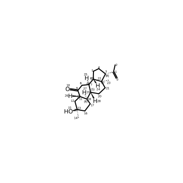 C=C(C)[C@H]1CC[C@H]2[C@@H]3CC(=O)[C@H]4C[C@](C)(O)CC[C@@H]4[C@H]3CC[C@]12C